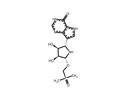 CP(C)(=O)CO[C@H]1N[C@@H](c2c[nH]c3c(=O)[nH]cnc23)[C@H](O)[C@@H]1O